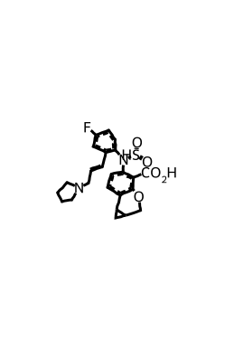 O=C(O)c1c(N(c2ccc(F)cc2C=CCN2CCCC2)[SH](=O)=O)ccc2c1OCC1CC21